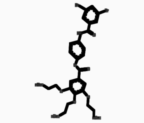 CCCCCCCCCCCCOc1cc(C(=O)Oc2ccc(NC(=O)c3cc(Br)cc(Br)c3)cc2)cc(OCCCCCCCCCCCC)c1OCCCCCCCCCCCC